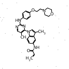 C=CC(=O)Nc1ccc2c(c1)c(C)cn2-c1nc(Nc2ccc(OCCN3CCOCC3)cc2)ncc1C